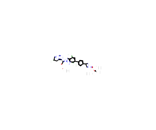 CCOC(=O)[C@@H](c1ncn2c1C[C@@H](F)C2)n1cc2c(Cl)cc(-c3ccc(C4CN(C(=O)OC(C)(C)C)C4)cc3)c(Cl)c2n1